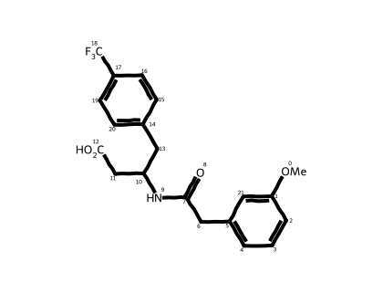 COc1cccc(CC(=O)NC(CC(=O)O)Cc2ccc(C(F)(F)F)cc2)c1